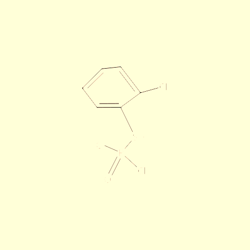 O=P(Cl)(Cl)Sc1ccccc1Cl